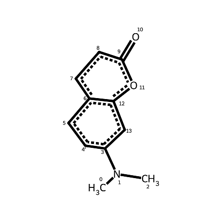 CN(C)c1[c]cc2ccc(=O)oc2c1